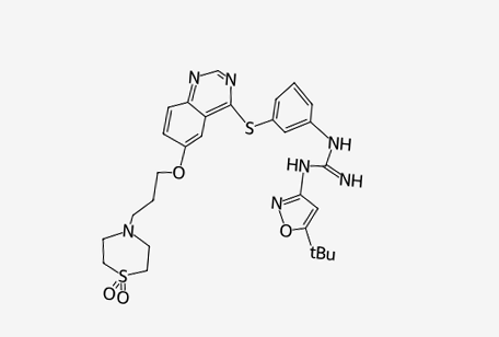 CC(C)(C)c1cc(NC(=N)Nc2cccc(Sc3ncnc4ccc(OCCCN5CCS(=O)(=O)CC5)cc34)c2)no1